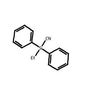 CC[Si](C#N)(c1ccccc1)c1ccccc1